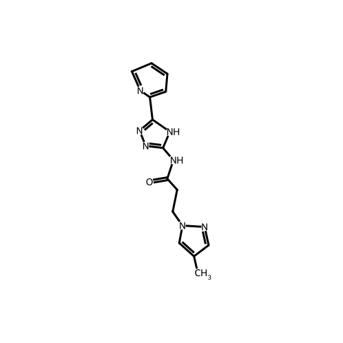 Cc1cnn(CCC(=O)Nc2nnc(-c3ccccn3)[nH]2)c1